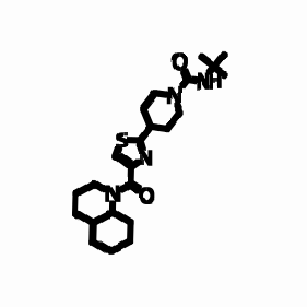 CC(C)(C)NC(=O)N1CCC(c2nc(C(=O)N3CCCC4CCCCC43)cs2)CC1